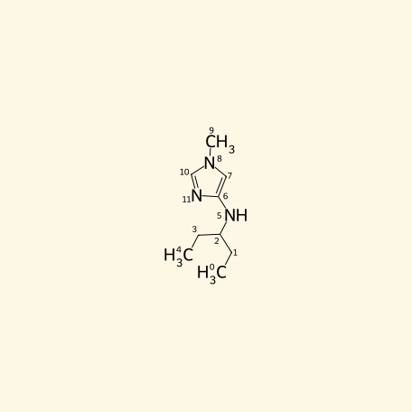 CCC(CC)Nc1cn(C)cn1